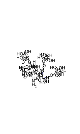 CC(=O)NC1C(OCCOCCN/C=C(/CN(C/C(N)=C/N(N)CCOCCOC2OC(CO)C(O)C(O)C2NC(C)=O)C(CCCCN(CC2=CN(CCOCCOC3OC(CO)C(O)C(O)C3NC(C)=O)NN2)CC2CN(CCOCCOC3OC(CO)C(O)C(O)C3NC(C)=O)N=N2)C(=O)NCCN)N=N)OC(CO)C(O)C1O